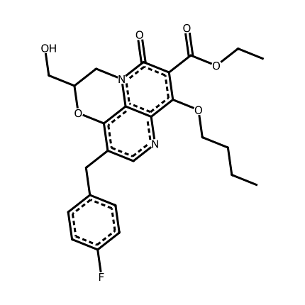 CCCCOc1c(C(=O)OCC)c(=O)n2c3c(c(Cc4ccc(F)cc4)cnc13)OC(CO)C2